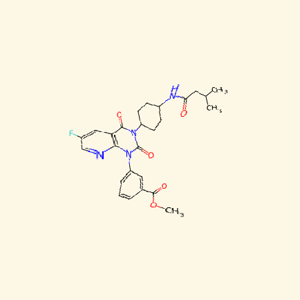 COC(=O)c1cccc(-n2c(=O)n(C3CCC(NC(=O)CC(C)C)CC3)c(=O)c3cc(F)cnc32)c1